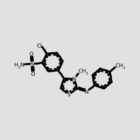 Cc1ccc(N=c2scc(-c3ccc(Cl)c(S(N)(=O)=O)c3)n2C)cc1